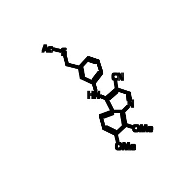 COc1ccc2c(Nc3cccc(CSC(C)=O)c3)c(C#N)cnc2c1OC